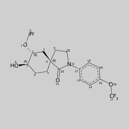 CC(C)O[C@@H]1C[C@@]2(CC[C@H]1O)CCN(c1ccc(OC(F)(F)F)cc1)C2=O